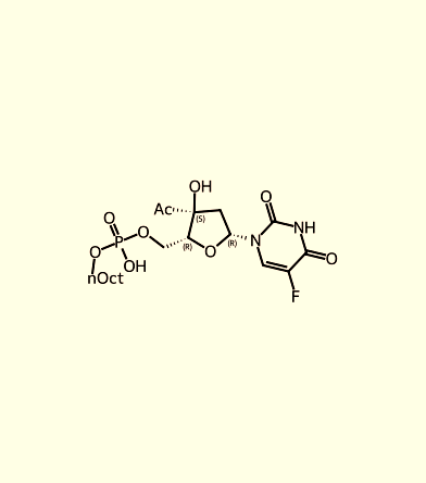 CCCCCCCCOP(=O)(O)OC[C@H]1O[C@@H](n2cc(F)c(=O)[nH]c2=O)C[C@@]1(O)C(C)=O